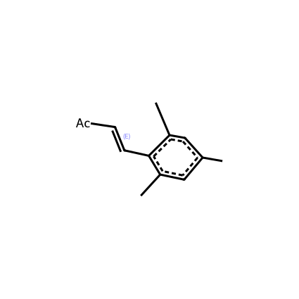 CC(=O)/C=C/c1c(C)cc(C)cc1C